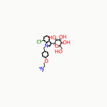 CN(C)CCOc1ccc(Cn2cc([C@@H]3O[C@H](CO)[C@@H](O)[C@H](O)[C@H]3O)c3cccc(Cl)c32)cc1